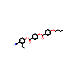 CCCCOc1ccc(C(=O)Oc2ccc(C(=O)Oc3ccc(C#N)c(CC)c3)cc2)cc1